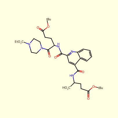 CCOC(=O)N1CCN(C(=O)C(CCC(=O)OC(C)(C)C)NC(=O)c2cc(C(=O)NC(CCC(=O)OC(C)(C)C)C(=O)O)c3ccccc3n2)CC1